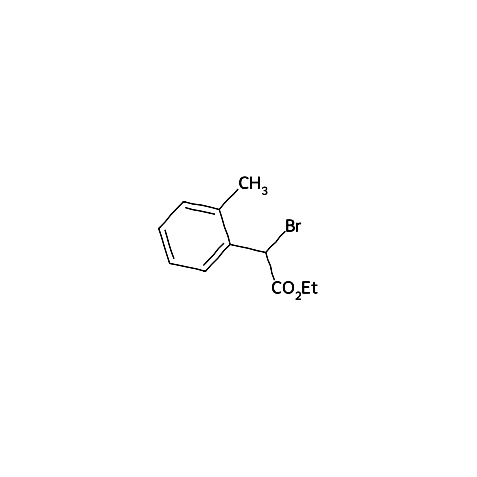 CCOC(=O)C(Br)c1ccccc1C